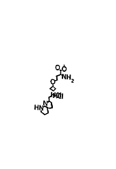 COC(=O)C(N)CCO[C@H]1C[C@H](CCc2ccc3c(n2)NCCC3)C1.Cl.Cl